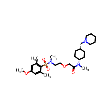 COc1cc(C)c(S(=O)(=O)N(C)CCOCC(=O)N(C)[C@H]2CC[C@@H](CN3CCCCC3)CC2)c(C)c1